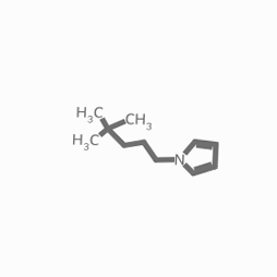 CC(C)(C)CCCn1cccc1